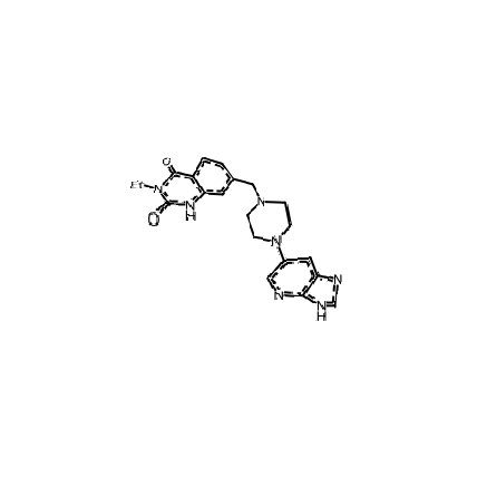 CCn1c(=O)[nH]c2cc(CN3CCN(c4cnc5[nH]cnc5c4)CC3)ccc2c1=O